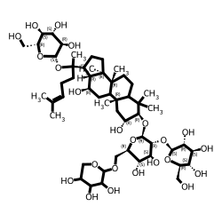 CC(C)=CCCC(C)(O[C@@H]1O[C@H](CO)[C@@H](O)[C@H](O)[C@H]1O)[C@H]1CC[C@]2(C)[C@@H]1[C@H](O)CC1[C@@]3(C)C[C@@H](O)[C@H](O[C@@H]4O[C@H](COC5OCC(O)C(O)C5O)[C@@H](O)[C@H](O)[C@H]4O[C@@H]4O[C@H](CO)[C@@H](O)[C@H](O)[C@H]4O)C(C)(C)C3CC[C@]12C